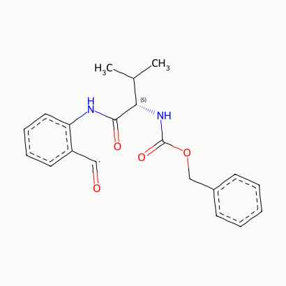 CC(C)[C@H](NC(=O)OCc1ccccc1)C(=O)Nc1ccccc1[C]=O